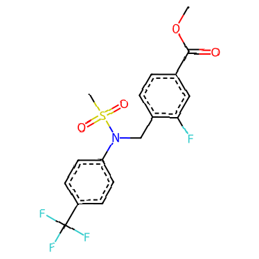 COC(=O)c1ccc(CN(c2ccc(C(F)(F)F)cc2)S(C)(=O)=O)c(F)c1